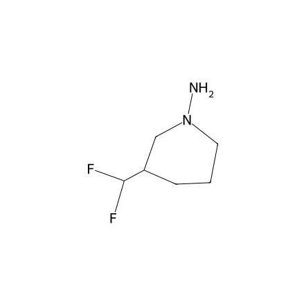 NN1CCCC(C(F)F)C1